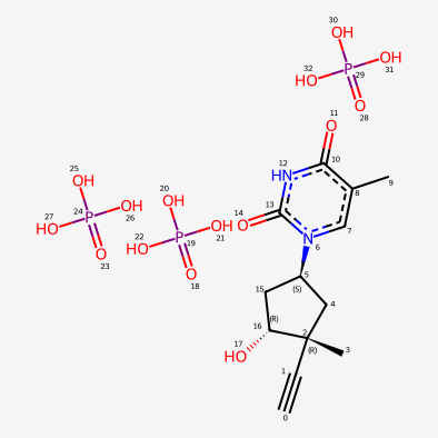 C#C[C@@]1(C)C[C@H](n2cc(C)c(=O)[nH]c2=O)C[C@H]1O.O=P(O)(O)O.O=P(O)(O)O.O=P(O)(O)O